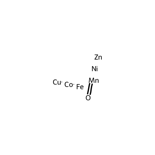 [Co].[Cu].[Fe].[Ni].[O]=[Mn].[Zn]